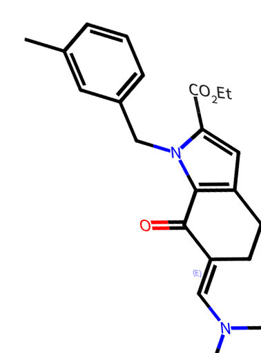 CCOC(=O)c1cc2c(n1Cc1cccc(C)c1)C(=O)/C(=C/N(C)C)CC2